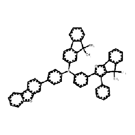 CC1(C)c2ccccc2-c2ccc(N(c3ccc(-c4ccc5c(c4)oc4ccccc45)cc3)c3cccc(-c4oc5c(c4-c4ccccc4)C(C)(C)c4ccccc4-5)c3)cc21